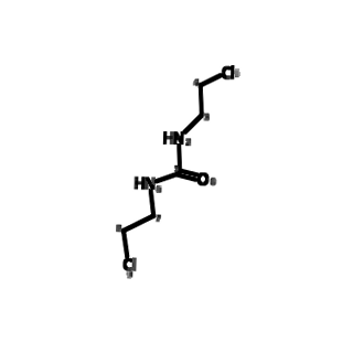 O=C(NCCCl)NCCCl